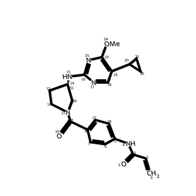 C=CC(=O)Nc1ccc(C(=O)N2CC[C@H](Nc3ncc(C4CC4)c(OC)n3)C2)cc1